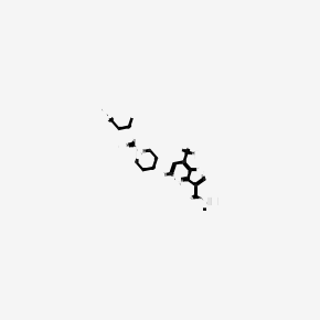 CNC(=O)c1csc2c(C(F)(F)F)cc(OC3CCN(C(=O)OC(C)CC#N)CC3)nc12